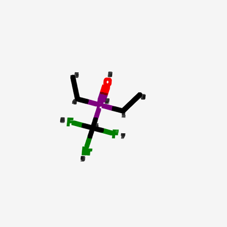 CCP(=O)(CC)C(F)(F)Br